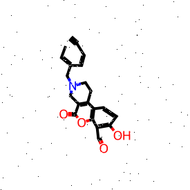 C#C/C=C\C(=C/C)CN1CCc2c(c(=O)oc3c(C=O)c(O)ccc23)C1